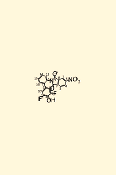 O=C1c2ccc([N+](=O)[O-])cc2C(=O)N1c1ccccc1-c1cc(F)c(O)c(F)c1